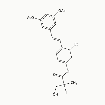 CCC1CC(OC(=O)C(C)(I)CO)=CC=C1/C=C/c1cc(OC(C)=O)cc(OC(C)=O)c1